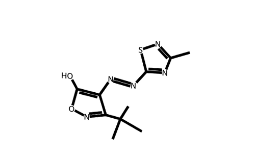 Cc1nsc(N=Nc2c(C(C)(C)C)noc2O)n1